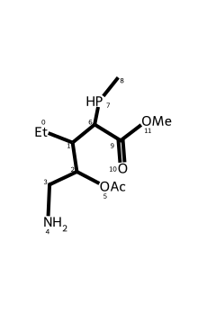 CCC(C(CN)OC(C)=O)C(PC)C(=O)OC